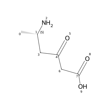 C[C@H](N)CC(=O)CC(=O)O